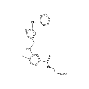 CNCCNC(=O)c1ccc(F)c(NCc2cnc(Nc3ccccn3)s2)c1